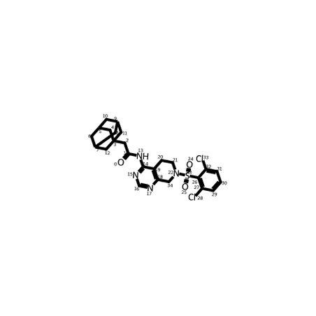 O=C(CC12CC3CC(CC(C3)C1)C2)Nc1ncnc2c1CCN(S(=O)(=O)c1c(Cl)cccc1Cl)C2